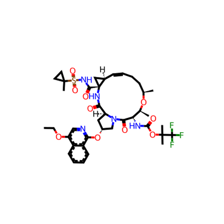 CCOc1cnc(O[C@@H]2C[C@H]3C(=O)N[C@]4(C(=O)NS(=O)(=O)C5(C)CC5)C[C@H]4/C=C\CC[C@@H](C)O[C@@H](C)[C@H](NC(=O)OC(C)(C)C(F)(F)F)C(=O)N3C2)c2ccccc12